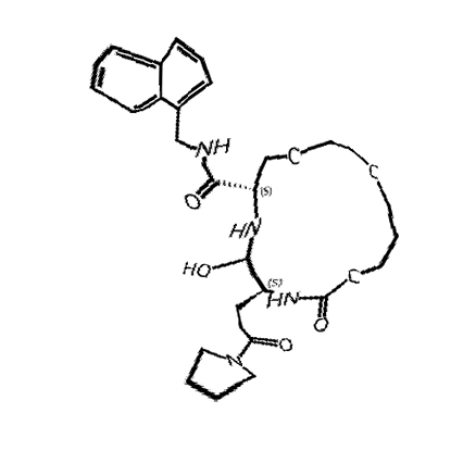 O=C1CCCCCCCCC[C@@H](C(=O)NCc2cccc3ccccc23)NC(O)[C@H](CC(=O)N2CCCC2)N1